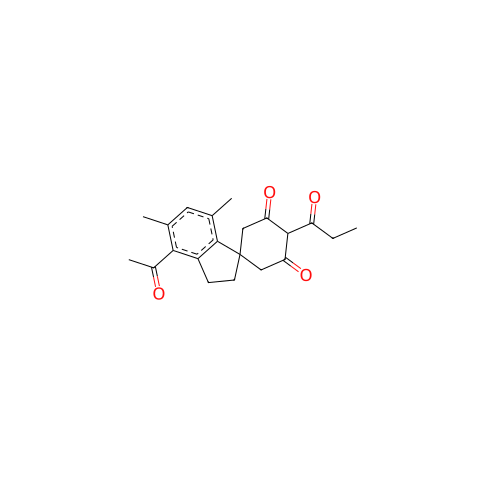 CCC(=O)C1C(=O)CC2(CCc3c(C(C)=O)c(C)cc(C)c32)CC1=O